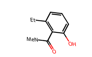 CCc1cccc(O)c1C(=O)NC